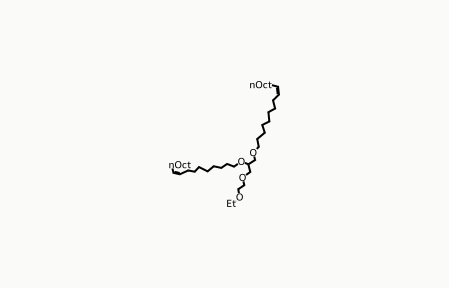 CCCCCCCC/C=C\CCCCCCCCOCC(COCCOCC)OCCCCCCCC/C=C\CCCCCCCC